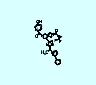 CC(c1nc(C2CN(C(=O)c3cnc(O)cn3)CC23CN(C(=O)[C@H]2CC2(F)F)C3)no1)n1ccc(C2CCCC2)n1